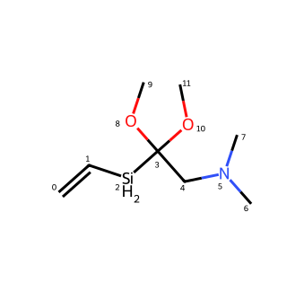 C=C[SiH2]C(CN(C)C)(OC)OC